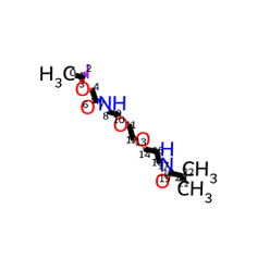 CC(I)OCC(=O)NCCOCCOCCCNC(=O)C(C)C